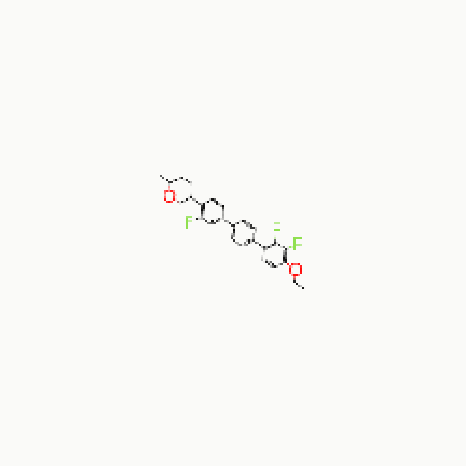 CCOc1ccc(-c2ccc(-c3ccc(C4CCC(C)OC4)c(F)c3)cc2)c(F)c1F